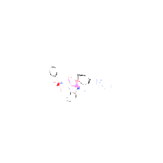 O=C(Nc1ccccc1-c1nc2cc(CN3CCNCC3)ccc2o1)c1ccccc1